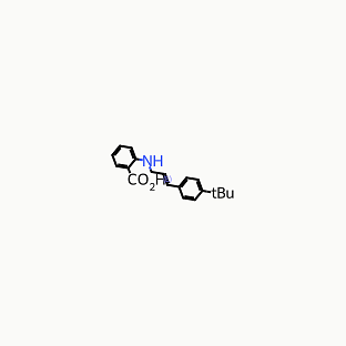 CC(C)(C)c1ccc(/C=C/CNc2ccccc2C(=O)O)cc1